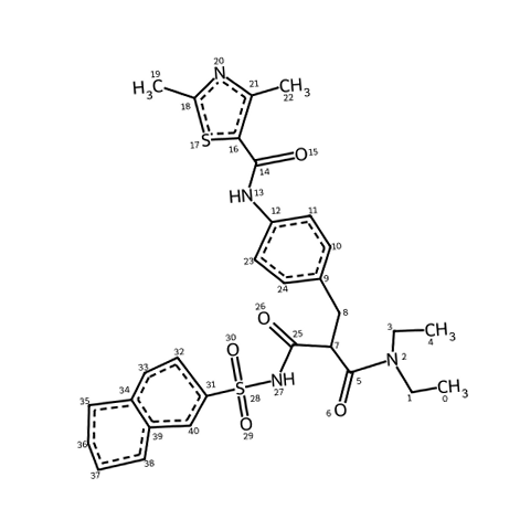 CCN(CC)C(=O)C(Cc1ccc(NC(=O)c2sc(C)nc2C)cc1)C(=O)NS(=O)(=O)c1ccc2ccccc2c1